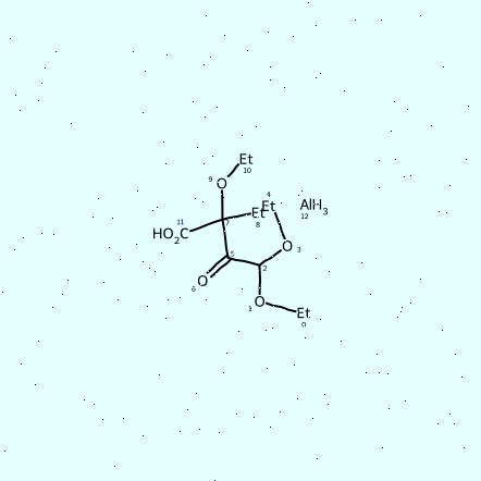 CCOC(OCC)C(=O)C(CC)(OCC)C(=O)O.[AlH3]